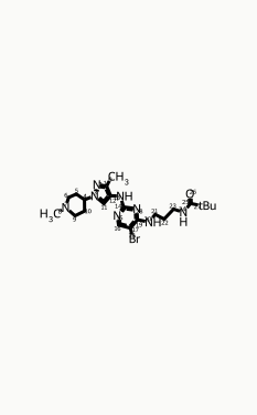 Cc1nn(C2CCN(C)CC2)cc1Nc1ncc(Br)c(NCCCNC(=O)C(C)(C)C)n1